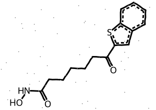 O=C(CCCCCC(=O)c1cc2ccccc2s1)NO